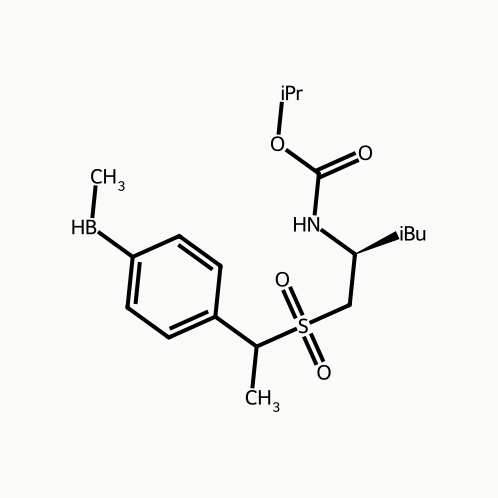 CBc1ccc(C(C)S(=O)(=O)C[C@@H](NC(=O)OC(C)C)C(C)CC)cc1